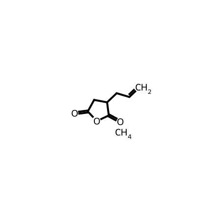 C.C=CCC1CC(=O)OC1=O